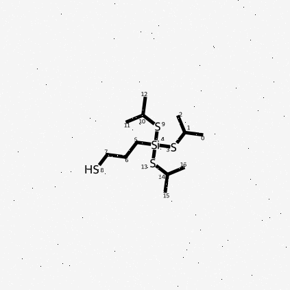 CC(C)S[Si](CCCS)(SC(C)C)SC(C)C